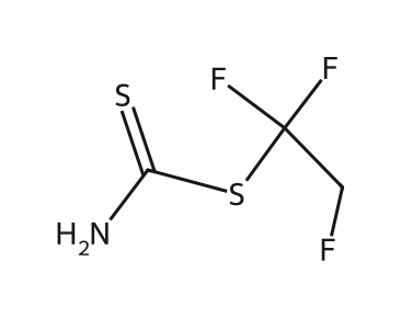 NC(=S)SC(F)(F)CF